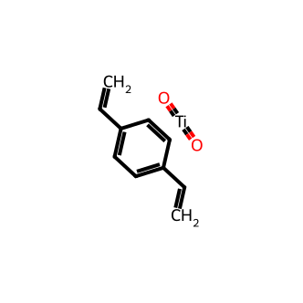 C=Cc1ccc(C=C)cc1.[O]=[Ti]=[O]